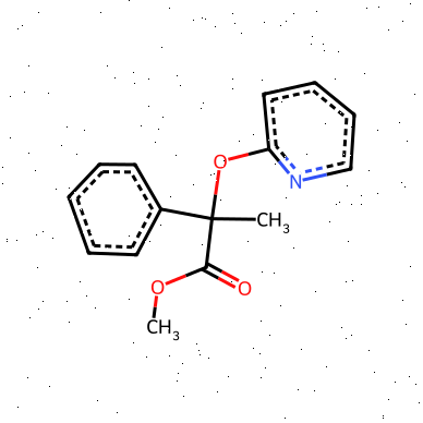 COC(=O)C(C)(Oc1ccccn1)c1ccccc1